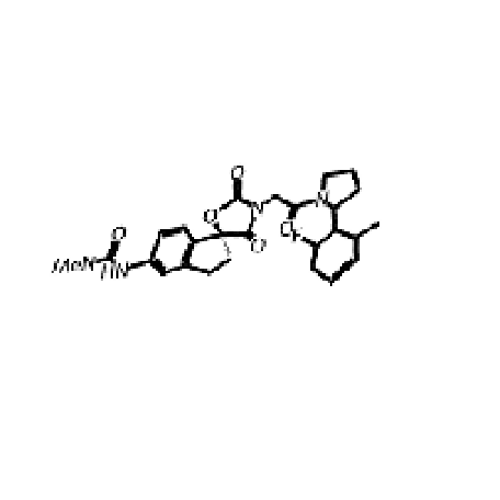 CNC(=O)Nc1ccc2c(c1)CC[C@@]21OC(=O)N(CC(=O)N2CCCC2C2C(C)C=CCC2F)C1=O